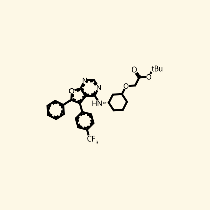 CC(C)(C)OC(=O)COC1CCC[C@H](Nc2ncnc3oc(-c4ccccc4)c(-c4ccc(C(F)(F)F)cc4)c23)C1